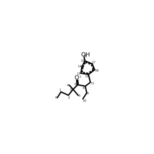 CCCC(C)(C)C(=O)C(CC)Cc1ccc(O)cc1